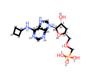 O=P(O)(O)COC[C@@H]1C[C@@H](O)[C@H](n2cnc3c(NC4CCC4)ncnc32)O1